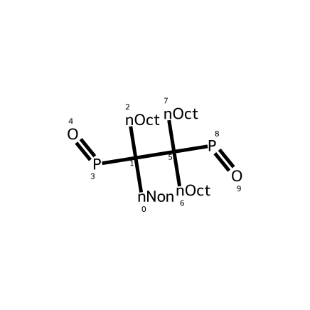 CCCCCCCCCC(CCCCCCCC)(P=O)C(CCCCCCCC)(CCCCCCCC)P=O